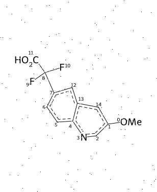 COc1cnc2ccc(C(F)(F)C(=O)O)cc2c1